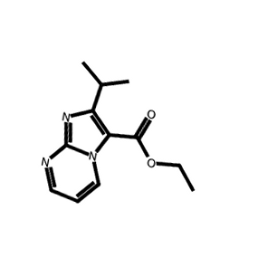 CCOC(=O)c1c(C(C)C)nc2ncccn12